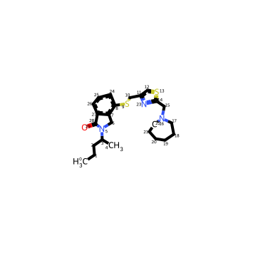 CCCC(C)N1Cc2c(SCc3csc(CN4CCCCCC4)n3)cccc2C1=O